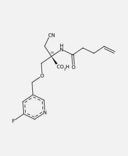 C=CCCC(=O)N[C@@](CC#N)(COCc1cncc(F)c1)C(=O)O